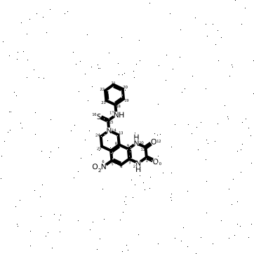 O=c1[nH]c2cc([N+](=O)[O-])c3c(c2[nH]c1=O)CN(C(=S)Nc1ccccc1)CC3